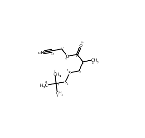 CC(CSSC(C)(C)C)C(=O)OCC#N